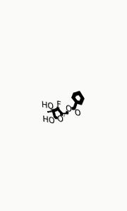 C[C@]1(O)C(O)O[C@H](COC(=O)c2ccccc2)C1F